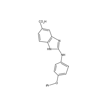 CC(C)Oc1ccc(Nc2nc3cc(C(=O)O)ccc3[nH]2)cc1